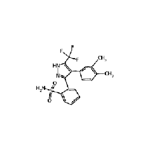 Cc1ccc(-c2c(-c3ccccc3S(N)(=O)=O)n[nH]c2C(F)(F)F)cc1C